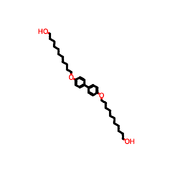 OCCCCCCCCCCCOc1ccc(-c2ccc(OCCCCCCCCCCCO)cc2)cc1